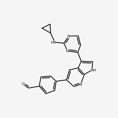 O=Cc1ccc(-c2cnc3[nH]cc(-c4ccnc(NC5CC5)n4)c3c2)cc1